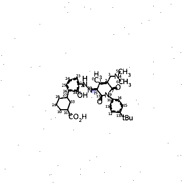 CC1=C(CN(C)C)C(=O)N(c2ccc(C(C)(C)C)cc2)C(=O)/C1=N/Nc1cccc(C2CCCC(C(=O)O)C2)c1O